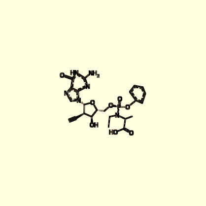 C#C[C@@H]1[C@H](O)[C@@H](CO[P@@](=O)(Oc2ccccc2)N(CC)C(C)C(=O)O)O[C@H]1n1cnc2c(=O)[nH]c(N)nc21